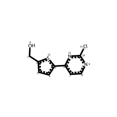 OCc1ccc(-c2ccnc(Cl)n2)s1